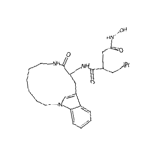 CC(C)CC(CC(=O)NO)C(=O)NC1Cc2cn(c3ccccc23)CCCCCCNC1=O